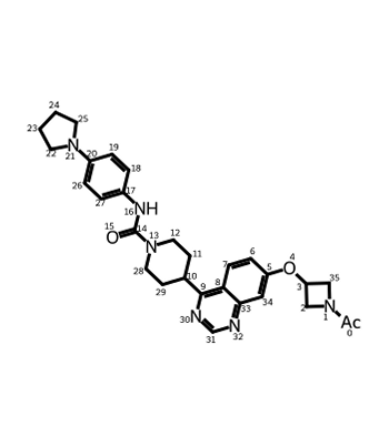 CC(=O)N1CC(Oc2ccc3c(C4CCN(C(=O)Nc5ccc(N6CCCC6)cc5)CC4)ncnc3c2)C1